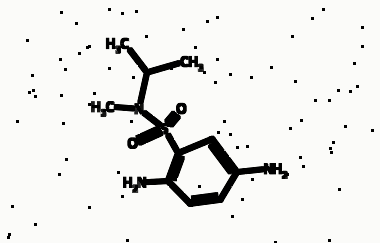 CC(C)N(C)S(=O)(=O)c1cc(N)ccc1N